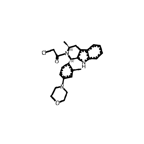 Cc1cc(N2CCOCC2)ccc1[C@H]1c2[nH]c3ccccc3c2C[C@H](C)N1C(=O)CCl